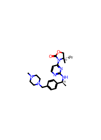 CC(C)[C@@]1(C)COC(=O)N1c1ccnc(N[C@@H](C)c2ccc(CN3CCN(C)CC3)cc2)n1